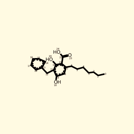 CCCCCCCc1cc(O)c(Cc2ccccc2)c(O)c1C(=O)O